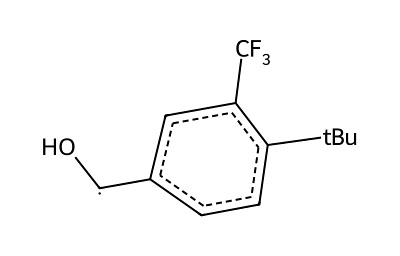 CC(C)(C)c1ccc([CH]O)cc1C(F)(F)F